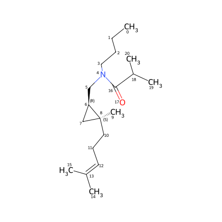 CCCCN(C[C@@H]1C[C@]1(C)CCC=C(C)C)C(=O)C(C)C